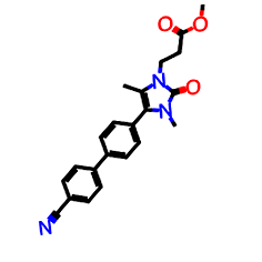 COC(=O)CCn1c(C)c(-c2ccc(-c3ccc(C#N)cc3)cc2)n(C)c1=O